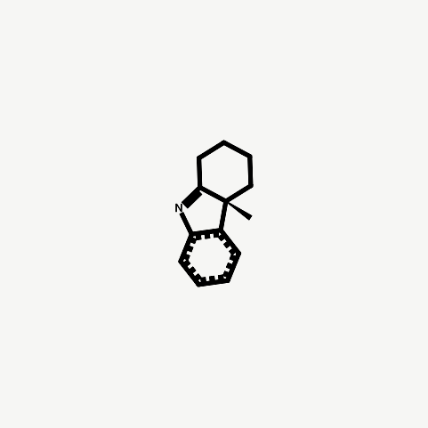 C[C@]12CCCCC1=Nc1ccccc12